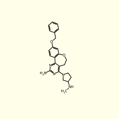 CNC1CCN(c2nc(N)nc3c2CCOc2cc(OCc4ccccc4)ccc2-3)C1